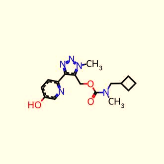 CN(CC1CCC1)C(=O)OCc1c(-c2ccc(O)cn2)nnn1C